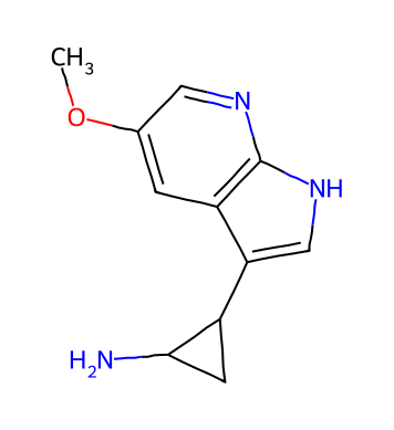 COc1cnc2[nH]cc(C3CC3N)c2c1